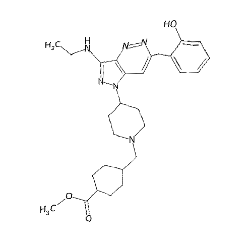 CCNc1nn(C2CCN(CC3CCC(C(=O)OC)CC3)CC2)c2cc(-c3ccccc3O)nnc12